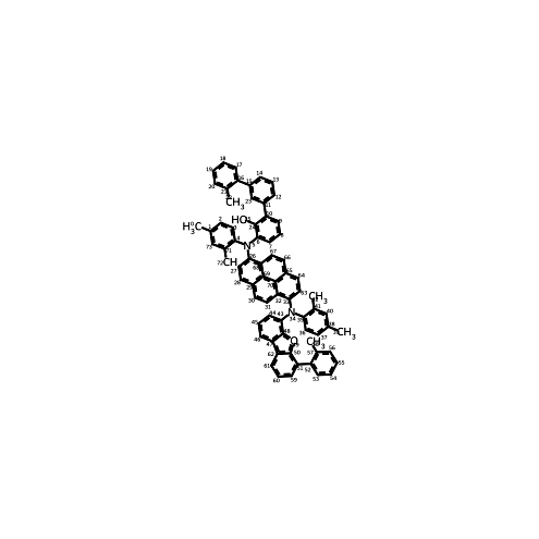 Cc1ccc(N(c2cccc(-c3cccc(-c4ccccc4C)c3)c2O)c2ccc3ccc4c(N(c5ccc(C)cc5C)c5cccc6c5oc5c(-c7ccccc7C)cccc56)ccc5ccc2c3c54)c(C)c1